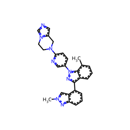 Cc1cccc2c(-c3cccc4nn(C)cc34)nn(-c3ccc(N4CCn5cncc5C4)nc3)c12